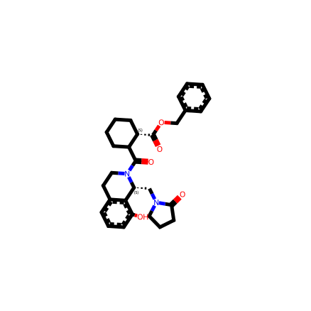 O=C(OCc1ccccc1)[C@H]1CCCCC1C(=O)N1CCc2cccc(O)c2[C@H]1CN1CCCC1=O